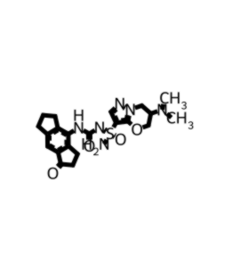 CN(C)C1COc2c(S(N)(=O)=NC(=O)Nc3c4c(cc5c3CCC5=O)CCC4)cnn2C1